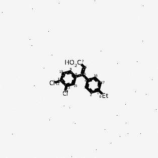 CCc1ccc(C(=CC(=O)O)c2ccc(Cl)c(Cl)c2)cc1